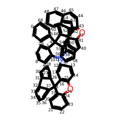 c1ccc(C2(c3ccccc3N(c3ccc4c(c3)C3(c5ccccc5O4)c4ccccc4-c4ccccc43)c3ccc4oc5ccc6ccccc6c5c4c3)c3ccccc3-c3ccccc32)cc1